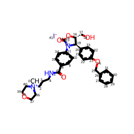 C[N+]1(CCCNC(=O)c2ccc(N3C(=O)O[C@H](CO)[C@H]3c3ccc(OCc4ccccc4)cc3)cc2)CCOCC1.[I-]